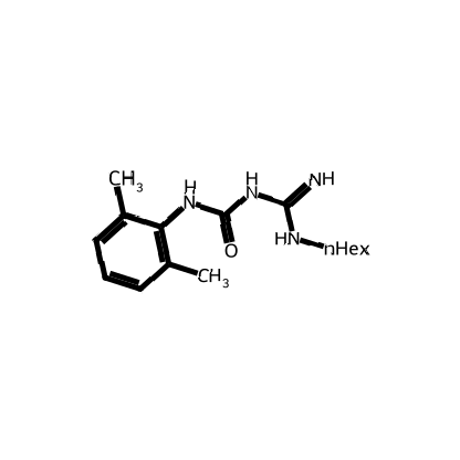 CCCCCCNC(=N)NC(=O)Nc1c(C)cccc1C